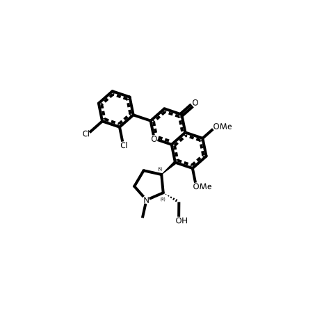 COc1cc(OC)c2c(=O)cc(-c3cccc(Cl)c3Cl)oc2c1[C@@H]1CCN(C)[C@H]1CO